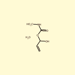 C=CC(O)OC(=O)NC(=O)O.O